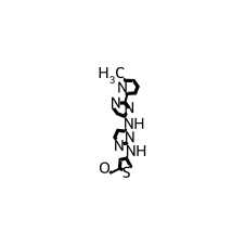 Cc1cccc(-c2nccc(Nc3ccnc(Nc4csc(C=O)c4)n3)n2)n1